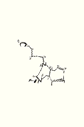 [O]CCCN1CNC2C=CC=CC21